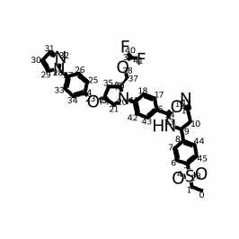 CCS(=O)(=O)c1ccc(C(CC#N)NC(=O)c2ccc(N3C[C@@H](Oc4ccc(-n5cccn5)cc4)C[C@H]3COC(F)F)cc2)cc1